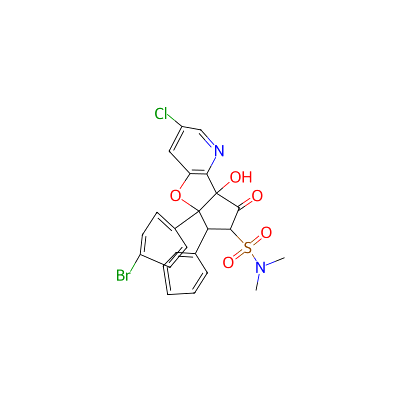 CN(C)S(=O)(=O)C1C(=O)C2(O)c3ncc(Cl)cc3OC2(c2ccc(Br)cc2)C1c1ccccc1